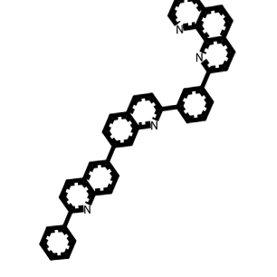 c1ccc(-c2ccc3cc(-c4ccc5ccc(-c6cccc(-c7ccc8ccc9cccnc9c8n7)c6)nc5c4)ccc3n2)cc1